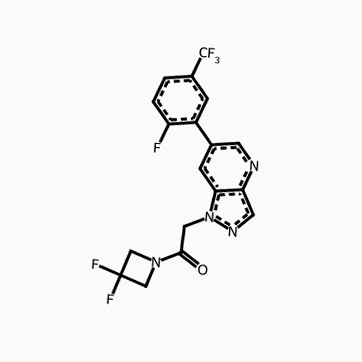 O=C(Cn1ncc2ncc(-c3cc(C(F)(F)F)ccc3F)cc21)N1CC(F)(F)C1